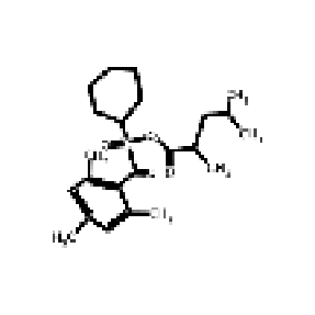 Cc1cc(C)c(C(=O)P(=O)(OC(=O)C(C)CC(C)C)C2CCCCC2)c(C)c1